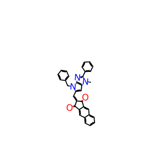 Cn1c(-c2ccccc2)nc2c1cc(C=C1C(=O)c3cc4ccccc4cc3C1=O)n2Cc1ccccc1